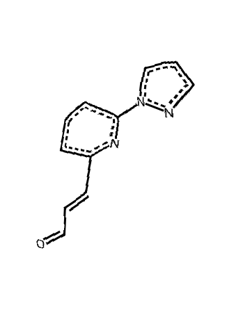 O=CC=Cc1cccc(-n2cccn2)n1